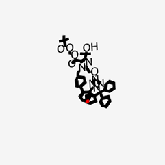 COCc1nc(C(C)(C)O)c(C(=O)OCOC(=O)C(C)(C)C)n1Cc1ccc(-c2ccccc2-c2nnnn2C(c2ccccc2)(c2ccccc2)c2ccccc2)cc1